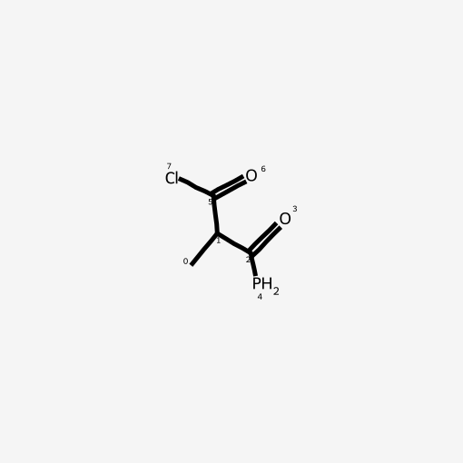 CC(C(=O)P)C(=O)Cl